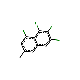 Cc1cc(F)c2c(F)c(Cl)c(F)cc2c1